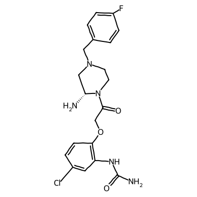 NC(=O)Nc1cc(Cl)ccc1OCC(=O)N1CCN(Cc2ccc(F)cc2)C[C@H]1N